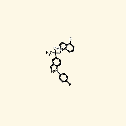 OC(Cn1ccc2c(F)cccc21)(c1ccc2c(cnn2-c2ccc(F)cc2)c1)C(F)(F)F